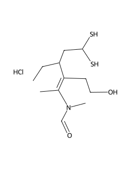 CCC(CC(S)S)C(CCO)=C(C)N(C)C=O.Cl